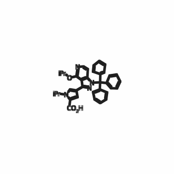 CC(C)Oc1nccc2c1c(-c1cc(C(=O)O)n(C(C)C)c1)nn2C(c1ccccc1)(c1ccccc1)c1ccccc1